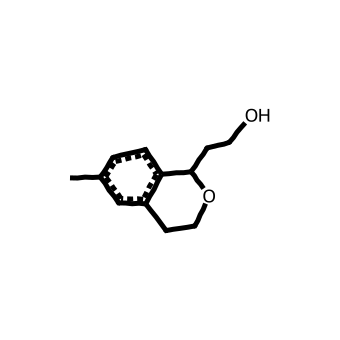 Cc1ccc2c(c1)CCOC2CCO